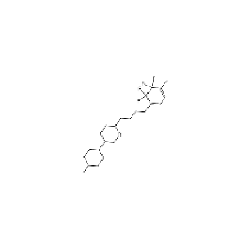 CC1=CC=C(CCCCC2CCC(C3CCC(C)CC3)CO2)C(F)(F)C1(F)F